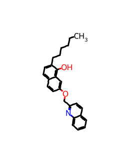 CCCCCCc1ccc2ccc(OCc3ccc4ccccc4n3)cc2c1O